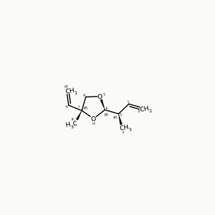 C=C[C@@H](C)[C@@H]1OC[C@@](C)(C=C)O1